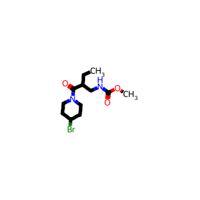 CCC(CNC(=O)OC)C(=O)N1CCC(Br)CC1